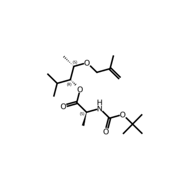 C=C(C)CO[C@@H](C)[C@H](OC(=O)[C@H](C)NC(=O)OC(C)(C)C)C(C)C